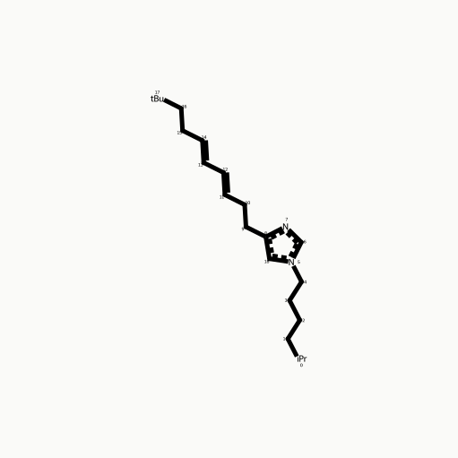 CC(C)CCCCn1cnc(CC/C=C/C=C/CCC(C)(C)C)c1